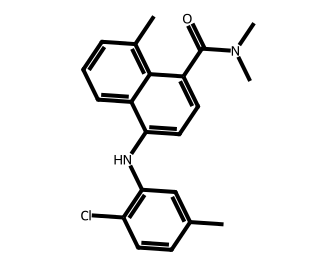 Cc1ccc(Cl)c(Nc2ccc(C(=O)N(C)C)c3c(C)cccc23)c1